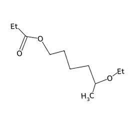 CCOC(C)CCCCOC(=O)CC